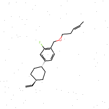 C=C[C@H]1CC[C@H](c2ccc(COCC/C=C/C)c(F)c2)CC1